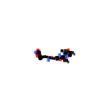 CC[C@@H]1C(=O)N(C)c2cnc(Nc3ccc(C(=O)NC4CCN(CCCOCCNCCCC#Cc5cccc6c5CN(C5CCC(=O)NC5=O)C6=O)CC4)cc3OC)nc2N1C1CCCC1